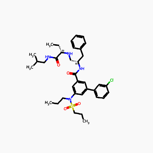 CCCN(c1cc(C(=O)N[C@H](CN[C@@H](CC)C(=O)NCC(C)C)Cc2ccccc2)cc(-c2cccc(Cl)c2)c1)S(=O)(=O)CCC